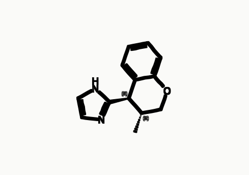 C[C@H]1COc2ccccc2[C@@H]1c1ncc[nH]1